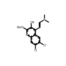 COc1nc2cc(Cl)c(Cl)cc2c(C=CN(C)C)c1C#N